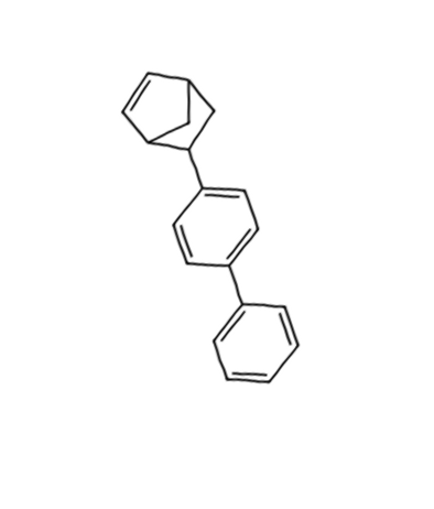 C1=CC2CC1CC2c1ccc(-c2ccccc2)cc1